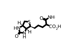 [NH]C(=O)C(CCC[C@@H]1SC[C@@H]2NC(=O)N[C@@H]21)C(=O)O